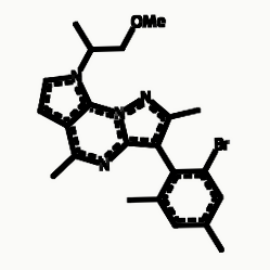 COCC(C)n1ccc2c(C)nc3c(-c4c(C)cc(C)cc4Br)c(C)nn3c21